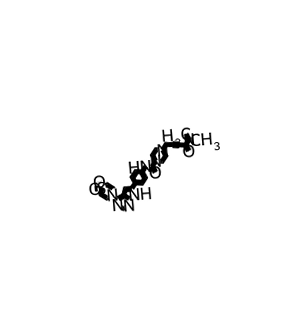 CN(C)C(=O)C#CCN1CCN(C(=O)Nc2ccc(-c3cc4c(N5CCS(=O)(=O)CC5)ncnc4[nH]3)cc2)CC1